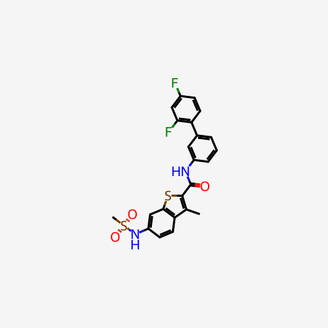 Cc1c(C(=O)Nc2cccc(-c3ccc(F)cc3F)c2)sc2cc(NS(C)(=O)=O)ccc12